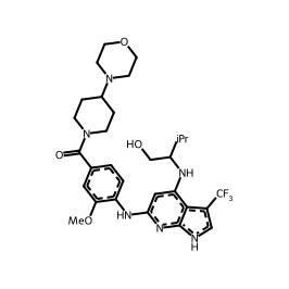 COc1cc(C(=O)N2CCC(N3CCOCC3)CC2)ccc1Nc1cc(NC(CO)C(C)C)c2c(C(F)(F)F)c[nH]c2n1